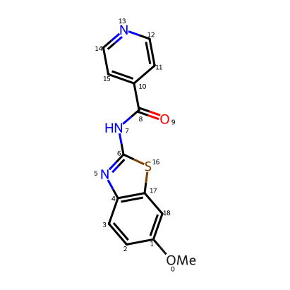 COc1ccc2nc(NC(=O)c3ccncc3)sc2c1